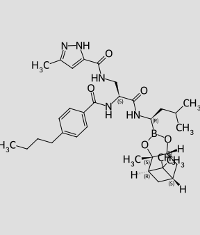 CCCCc1ccc(C(=O)N[C@@H](CNC(=O)c2cc(C)n[nH]2)C(=O)N[C@@H](CC(C)C)B2O[C@@H]3C[C@@H]4C[C@H](C4(C)C)[C@]3(C)O2)cc1